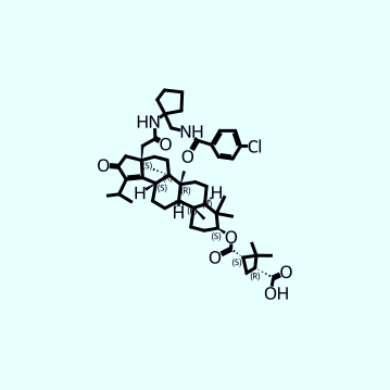 CC(C)C1=C2[C@H]3CC[C@@H]4[C@@]5(C)CC[C@H](OC(=O)[C@H]6C[C@@H](C(=O)O)C6(C)C)C(C)(C)[C@@H]5CC[C@@]4(C)[C@]3(C)CC[C@@]2(CC(=O)NC2(CNC(=O)c3ccc(Cl)cc3)CCCC2)CC1=O